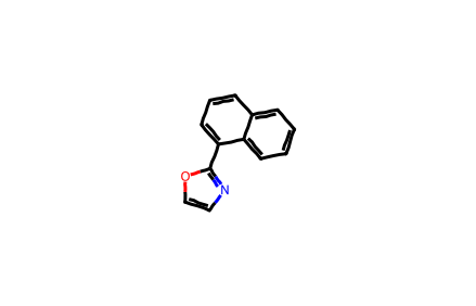 c1ccc2c(-c3ncco3)cccc2c1